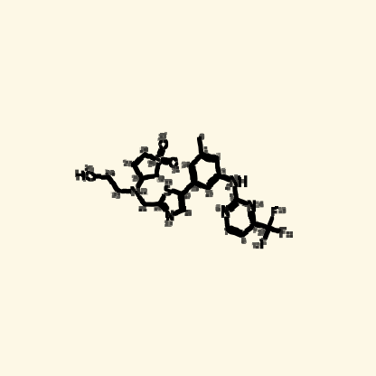 Cc1cc(Nc2nccc(C(F)(F)F)n2)cc(-c2cnc(CN(CCO)C3CCS(=O)(=O)C3)s2)c1